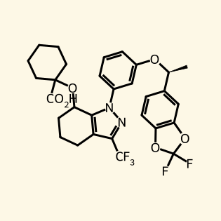 C[C@H](Oc1cccc(-n2nc(C(F)(F)F)c3c2C(OC2(C(=O)O)CCCCC2)CCC3)c1)c1ccc2c(c1)OC(F)(F)O2